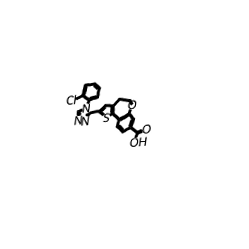 O=C(O)c1ccc2c(c1)OCCc1cc(-c3nncn3-c3ccccc3Cl)sc1-2